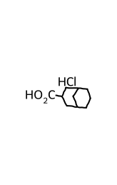 Cl.O=C(O)C1CC2CCCC(C2)C1